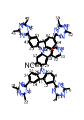 Cc1nc(C)nc(-c2ccc3c(c2)c2cc(-c4nc(C)nc(C)n4)ccc2n3-c2cc(-c3ccncc3)c(-n3c4ccc(-c5nc(C)nc(C)n5)cc4c4cc(-c5nc(C)nc(C)n5)ccc43)cc2C#N)n1